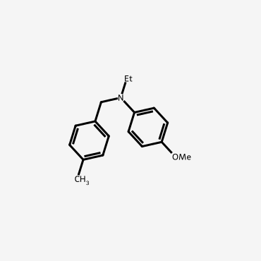 CCN(Cc1ccc(C)cc1)c1ccc(OC)cc1